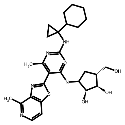 Cc1nc(NC2(C3CCCCC3)CC2)nc(NC2C[C@H](CO)[C@@H](O)[C@H]2O)c1-c1nc2c(C)nccc2s1